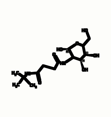 CC(C)(C)NC(=O)CCC(=O)NC1[C@H](O)OC(CO)[C@@H](O)[C@@H]1O